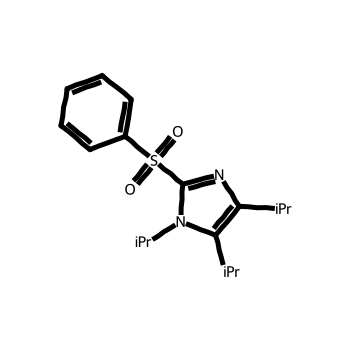 CC(C)c1nc(S(=O)(=O)c2ccccc2)n(C(C)C)c1C(C)C